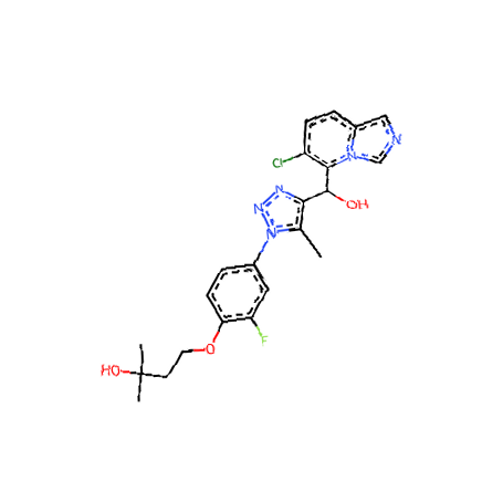 Cc1c(C(O)c2c(Cl)ccc3cncn23)nnn1-c1ccc(OCCC(C)(C)O)c(F)c1